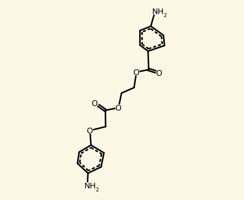 Nc1ccc(OCC(=O)OCCOC(=O)c2ccc(N)cc2)cc1